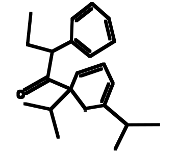 CCC(C(=O)C1(C(C)C)[CH]C(C(C)C)=CC=C1)c1ccccc1